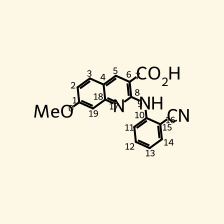 COc1ccc2cc(C(=O)O)c(Nc3ccccc3C#N)nc2c1